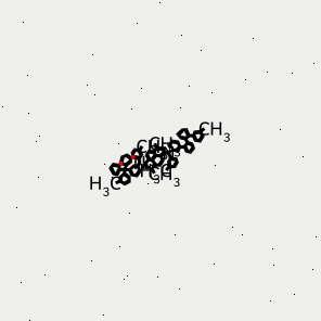 Cc1cccc(-c2ccccc2-c2ccccc2-c2cccc(N(c3cccc(C)c3)c3cc(C)c4ccc5c(N(c6cccc(C)c6)c6cccc(C7(c8cccc(C)c8)c8ccccc8-c8ccccc87)c6)cc(C)c6ccc3c4c65)c2)c1